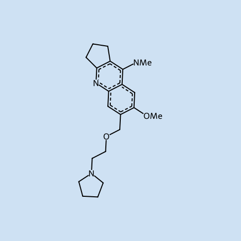 CNc1c2c(nc3cc(COCCN4CCCC4)c(OC)cc13)CCC2